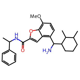 COc1ccc(C(N)C2CCCC(C)C2C)c2cc(C(=O)NC(C)c3ccccc3)oc12